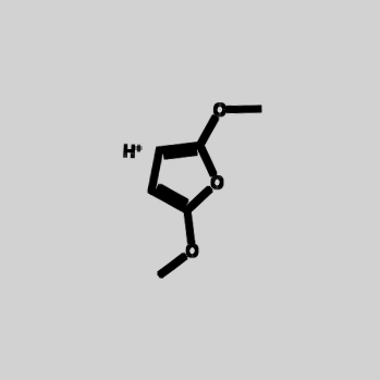 COc1ccc(OC)o1.[H+]